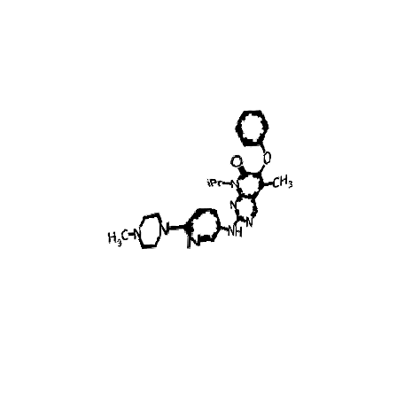 Cc1c(Oc2ccccc2)c(=O)n(C(C)C)c2nc(Nc3ccc(N4CCN(C)CC4)nc3)ncc12